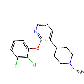 O=C(O)N1CCC(c2cccnc2Oc2cccc(Cl)c2Cl)CC1